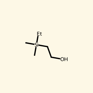 CC[Si](C)(C)CCO